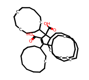 O=C(O)C(=C(C1CCCCCCCCCCC1)C1CCCCCCCCCCC1)C(C(=O)O)(C1CCCCCCCCCCC1)C1CCCCCCCCCCC1